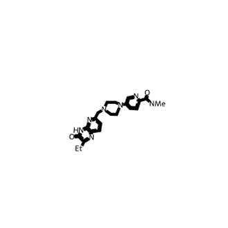 CCc1nc2ccc(CN3CCN(c4ccc(C(=O)NC)nc4)CC3)nc2[nH]c1=O